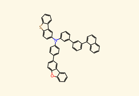 c1cc(-c2cccc(N(c3ccc(-c4ccc5oc6ccccc6c5c4)cc3)c3ccc4sc5ccccc5c4c3)c2)cc(-c2cccc3ccccc23)c1